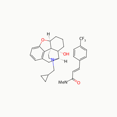 CNC(=O)/C=C/c1ccc(C(F)(F)F)cc1.O[C@@]12CCC[C@@H]3Oc4cccc5c4[C@@]31CCN(CC1CC1)[C@@H]2C5